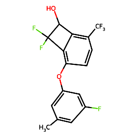 Cc1cc(F)cc(Oc2ccc(C(F)(F)F)c3c2C(F)(F)C3O)c1